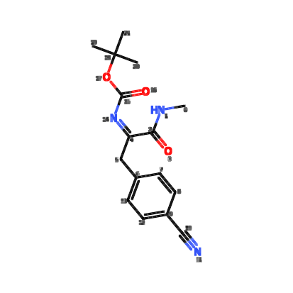 CNC(=O)/C(Cc1ccc(C#N)cc1)=N\C(=O)OC(C)(C)C